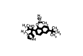 CC(C)C(O)(c1c[nH]cn1)c1ccc2cc(C(C)(C)C)ccc2c1O[SiH](C)C